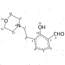 O=Cc1cccc(CCN2CCOCC2)c1O